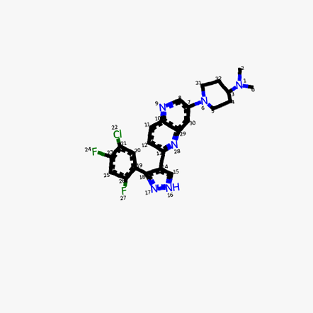 CN(C)C1CCN(c2cnc3ccc(-c4c[nH]nc4-c4cc(Cl)c(F)cc4F)nc3c2)CC1